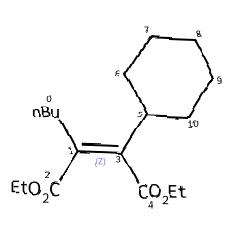 CCCC/C(C(=O)OCC)=C(/C(=O)OCC)C1CCCCC1